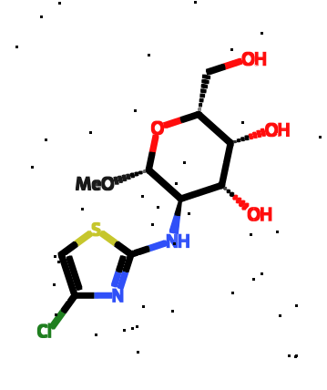 CO[C@@H]1O[C@H](CO)[C@H](O)[C@H](O)[C@H]1Nc1nc(Cl)cs1